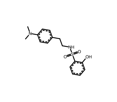 CN(C)c1ccc(CCNS(=O)(=O)c2ccccc2O)cc1